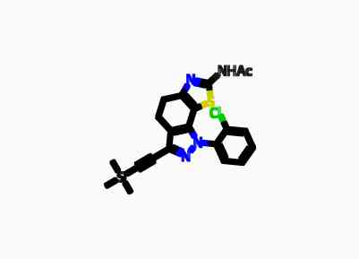 CC(=O)Nc1nc2c(s1)-c1c(c(C#C[Si](C)(C)C)nn1-c1ccccc1Cl)CC2